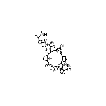 CCn1c(-c2cccnc2C(C)C)c2c3cc(ccc31)-c1cc(O)cc(c1)C[C@H](NC(=O)[C@H](C(C)C)N1CC[C@@]3(CCN(C(=O)[C@H]4CN4)C3)C1=O)C(=O)N1CCC[C@H](N1)C(=O)OCC(C)(C)C2